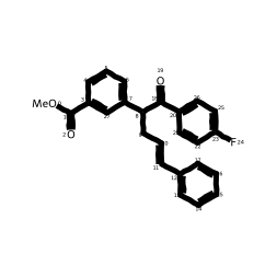 COC(=O)c1cccc(C(CC=Cc2ccccc2)C(=O)c2ccc(F)cc2)c1